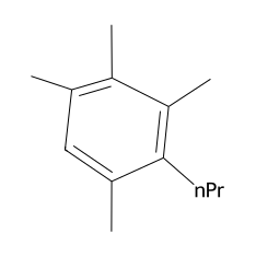 [CH2]CCc1c(C)cc(C)c(C)c1C